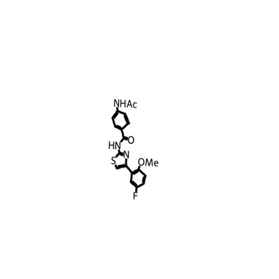 COc1ccc(F)cc1-c1csc(NC(=O)c2ccc(NC(C)=O)cc2)n1